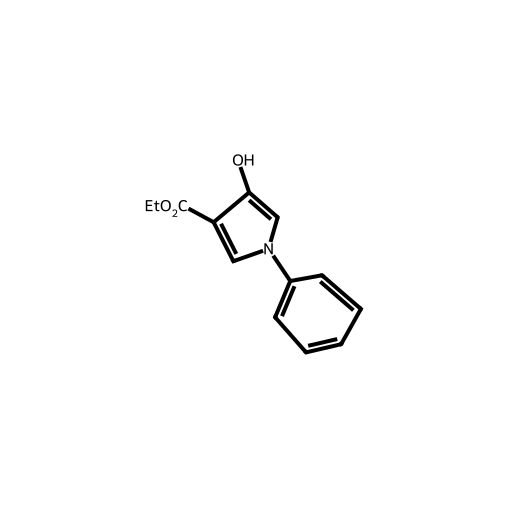 CCOC(=O)c1cn(-c2ccccc2)cc1O